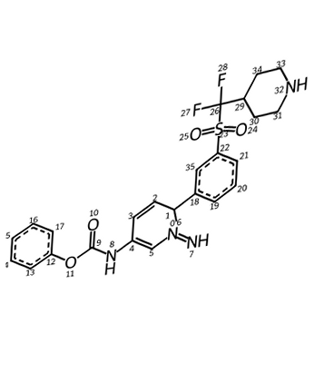 CC(/C=C\C(=C/N=N)NC(=O)Oc1ccccc1)c1cccc(S(=O)(=O)C(F)(F)C2CCNCC2)c1